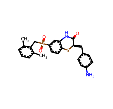 Cc1cccc(C)c1CS(=O)(=O)c1ccc2c(c1)NC(=O)C(=Cc1ccc(N)cc1)S2